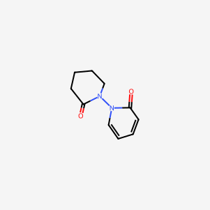 O=C1CCCCN1n1ccccc1=O